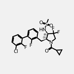 CS(=O)(=O)N[C@@H]1[C@H](Cc2cccc(-c3cccc(Cl)c3F)c2F)N(C(=O)C2CC2)CC1(F)F